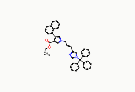 CCOC(=O)c1cn(CC=Cc2cn(C(c3ccccc3)(c3ccccc3)c3ccccc3)cn2)cc1-c1cccc2ccccc12